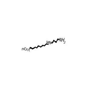 CCCCCCCCC=CCCCCCCCCNCCCCN